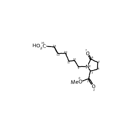 COC(=O)C1CCC(=O)N1CCCCCCC(=O)O